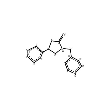 O=C1CC(c2ccccc2)CN1Cc1ccncc1